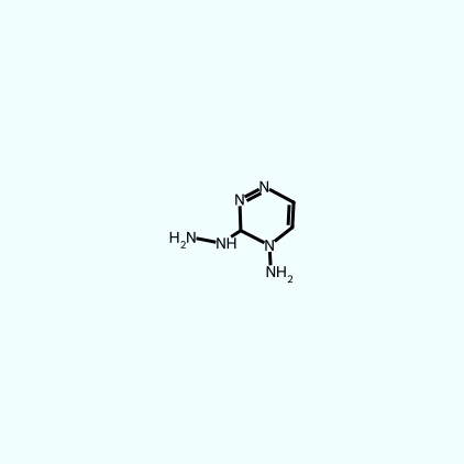 NNC1N=NC=CN1N